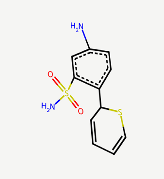 Nc1ccc(C2C=CC=CS2)c(S(N)(=O)=O)c1